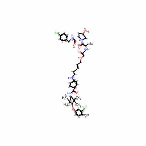 CC(C)(C)C(NC(=O)COCCCCCNc1ccc(C(=O)N[C@H]2C(C)(C)[C@H](Oc3ccc(C#N)c(Cl)c3)C2(C)C)cc1)C(=O)N1C[C@H](O)C[C@H]1C(=O)NCc1ccc(Cl)cc1